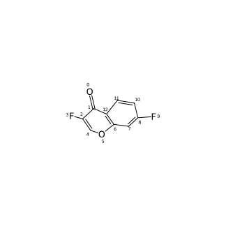 O=c1c(F)coc2cc(F)ccc12